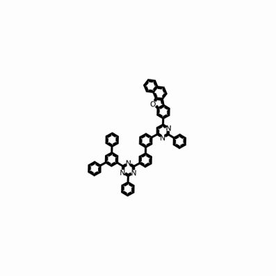 c1ccc(-c2cc(-c3ccccc3)cc(-c3nc(-c4ccccc4)nc(-c4cccc(-c5cccc(-c6cc(-c7ccc8c(c7)oc7c9ccccc9ccc87)nc(-c7ccccc7)n6)c5)c4)n3)c2)cc1